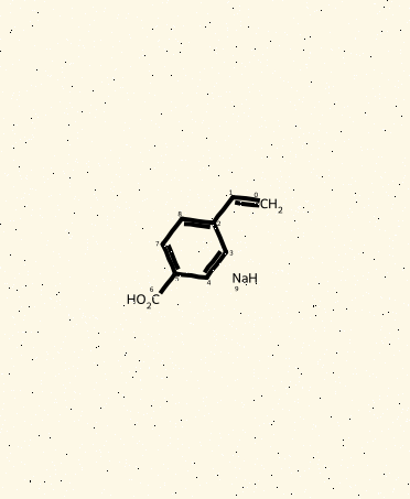 C=Cc1ccc(C(=O)O)cc1.[NaH]